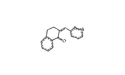 O=C1/C(=C\c2cccnc2)CCc2ccccc21